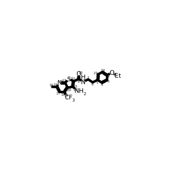 CCOc1ccc(CCNC(=O)c2sc3nc(C)cc(C(F)(F)F)c3c2N)cc1